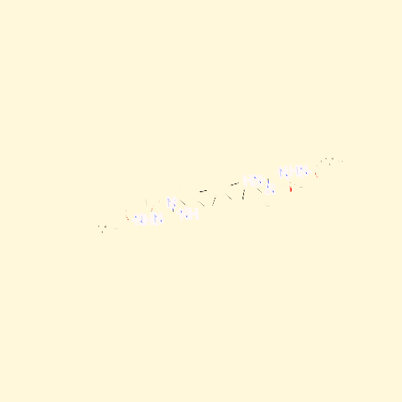 COC(=O)N[C@H](C(=O)N1CCC[C@H]1c1nc(Br)c(-c2ccc(-c3ccc(-c4[nH]c([C@@H]5CCCN5C(=O)[C@@H](NC(=O)OC)C(C)C)nc4Br)cc3)cc2)[nH]1)C(C)C